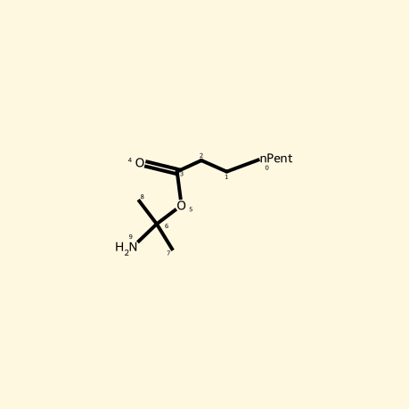 CCCCCCCC(=O)OC(C)(C)N